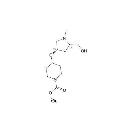 CN1C[C@H](OC2CCN(C(=O)OC(C)(C)C)CC2)C[C@H]1CO